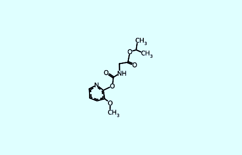 COc1cccnc1OC(=O)NCC(=O)OC(C)C